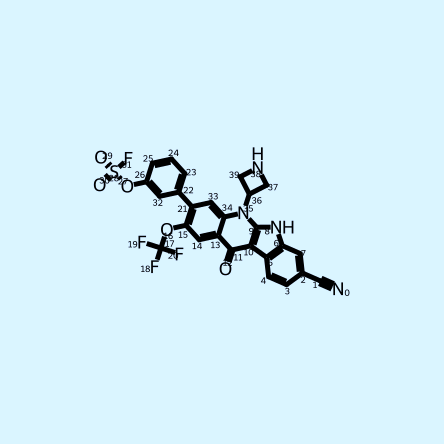 N#Cc1ccc2c(c1)[nH]c1c2c(=O)c2cc(OC(F)(F)F)c(-c3cccc(OS(=O)(=O)F)c3)cc2n1C1CNC1